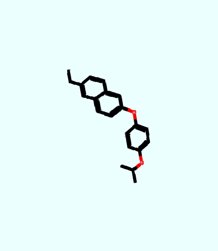 [CH2]Cc1ccc2cc(Oc3ccc(OC(C)C)cc3)ccc2c1